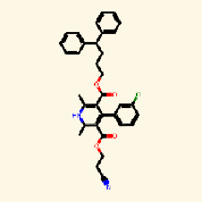 CC1=C(C(=O)OCCCC(c2ccccc2)c2ccccc2)C(c2cccc(Cl)c2)=C(C(=O)OCCC#N)C(C)N1